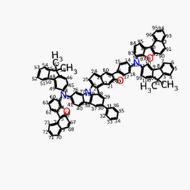 CC1(C)c2ccccc2-c2cc(N(c3ccc4c(c3)oc3cc5c(ccc6c5c5cc(-c7ccccc7)cc7c8ccc(N(c9ccc%10c(c9)-c9ccccc9C%10(C)C)c9cccc%10c9oc9ccc%11ccccc%11c9%10)cc8n6c75)cc34)c3cccc4c3oc3ccc5ccccc5c34)ccc21